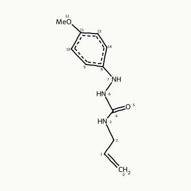 C=CCNC(=O)NNc1ccc(OC)cc1